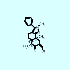 C[C@@H]1C(=O)/C(=C\O)C[C@]2(C)c3nn(C)c(-c4ccccc4)c3CC[C@@H]12